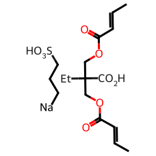 CC=CC(=O)OCC(CC)(COC(=O)C=CC)C(=O)O.O=S(=O)(O)CC[CH2][Na]